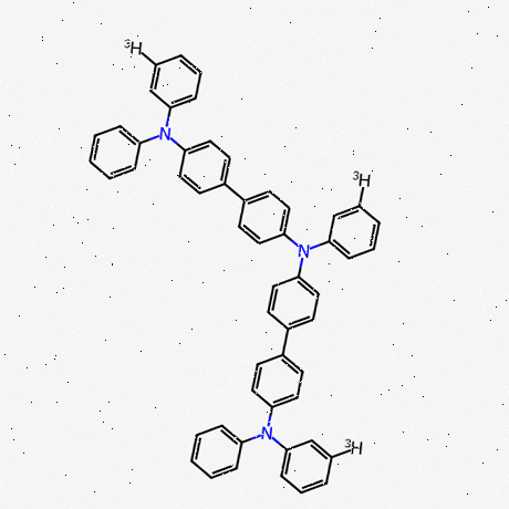 [3H]c1cccc(N(c2ccccc2)c2ccc(-c3ccc(N(c4ccc(-c5ccc(N(c6ccccc6)c6cccc([3H])c6)cc5)cc4)c4cccc([3H])c4)cc3)cc2)c1